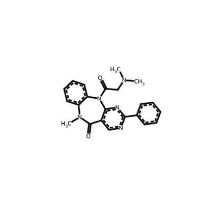 CN(C)CC(=O)N1c2ccccc2N(C)C(=O)c2cnc(-c3ccccc3)nc21